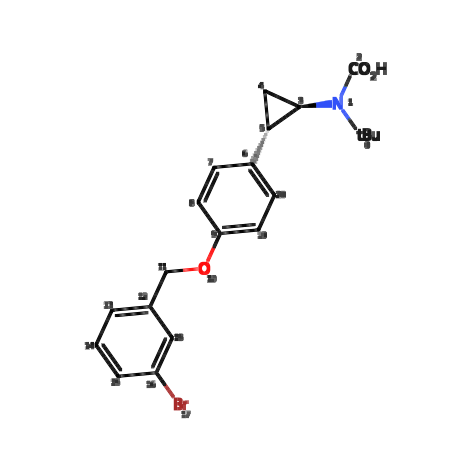 CC(C)(C)N(C(=O)O)[C@@H]1C[C@H]1c1ccc(OCc2cccc(Br)c2)cc1